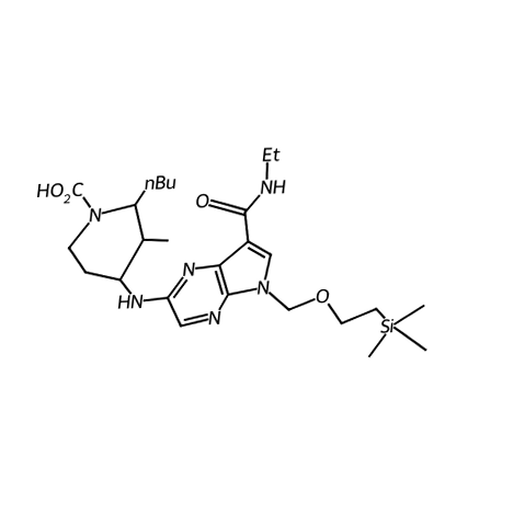 CCCCC1C(C)C(Nc2cnc3c(n2)c(C(=O)NCC)cn3COCC[Si](C)(C)C)CCN1C(=O)O